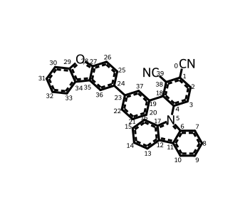 N#Cc1ccc(-n2c3ccccc3c3ccccc32)c(-c2cccc(-c3ccc4oc5ccccc5c4c3)c2)c1C#N